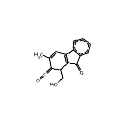 CC1=CC2=C(C(=O)c3ccccc32)C(CO)C1=C=O